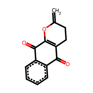 C=C1CCC2=C(O1)C(=O)c1ccccc1C2=O